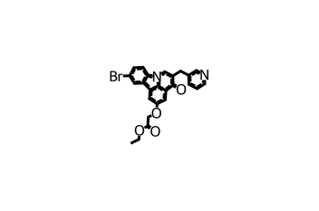 CCOC(=O)COc1cc2c(=O)c(Cc3cccnc3)cn3c4ccc(Br)cc4c(c1)c23